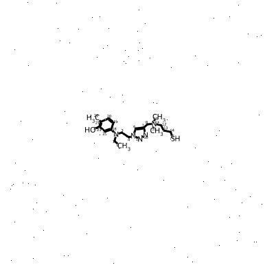 CCN(CCn1cc(C[N+](C)(C)CCCS)nn1)c1ccc(C)c(O)c1